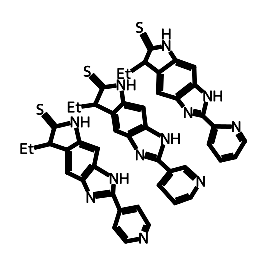 CCC1C(=S)Nc2cc3[nH]c(-c4ccccn4)nc3cc21.CCC1C(=S)Nc2cc3[nH]c(-c4cccnc4)nc3cc21.CCC1C(=S)Nc2cc3[nH]c(-c4ccncc4)nc3cc21